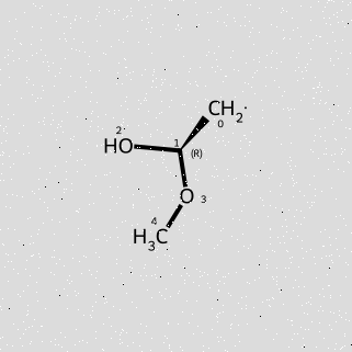 [CH2][C@H](O)OC